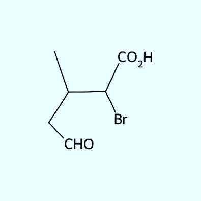 CC(CC=O)C(Br)C(=O)O